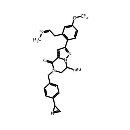 CCCCC1CN(Cc2ccc(C3C=N3)cc2)C(=O)c2cc(-c3ccc(OC(F)(F)F)cc3C/C=N\C)nn21